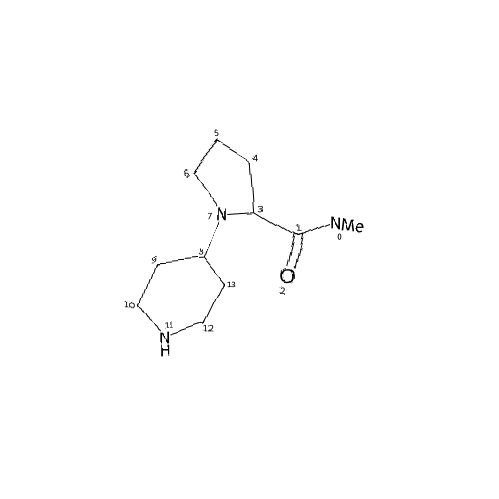 CNC(=O)C1CCCN1C1CCNCC1